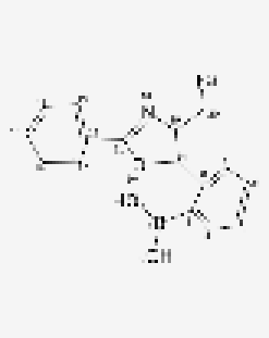 OB(O)c1ccccc1C1OC(c2ccccc2)=NC1CF